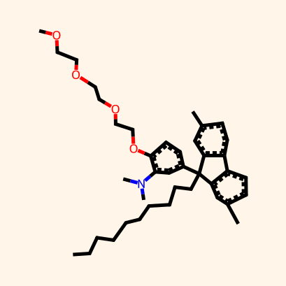 CCCCCCCCCCC1(c2ccc(OCCOCCOCCOC)c(N(C)C)c2)c2cc(C)ccc2-c2ccc(C)cc21